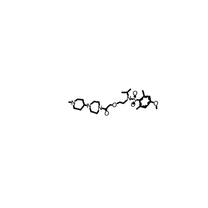 COc1cc(C)c(S(=O)(=O)N(CCOCC(=O)N2CCN(C3CCN(C)CC3)CC2)C(C)C)c(C)c1